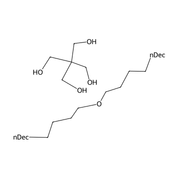 CCCCCCCCCCCCCCOCCCCCCCCCCCCCC.OCC(CO)(CO)CO